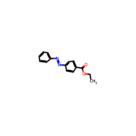 CCOC(=O)c1ccc(N=Nc2ccccc2)cc1